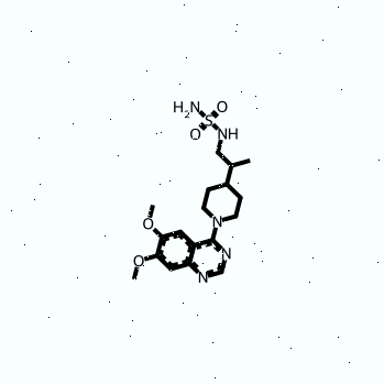 COc1cc2ncnc(N3CCC(C(C)CNS(N)(=O)=O)CC3)c2cc1OC